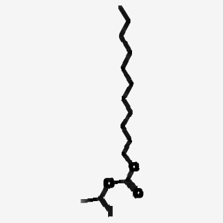 CCCCCCCCCCCOC(=O)OC(C)I